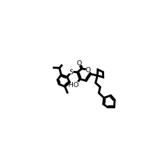 Cc1ccc(C(C)C)c(Sc2c(O)cc(C3(CCCc4ccccc4)CCC3)oc2=O)c1